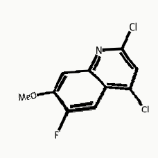 COc1cc2nc(Cl)cc(Cl)c2cc1F